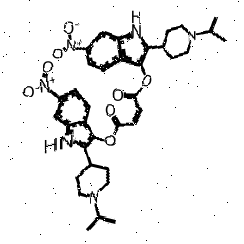 CC(C)N1CCC(c2[nH]c3cc([N+](=O)[O-])ccc3c2OC(=O)/C=C\C(=O)Oc2c(C3CCN(C(C)C)CC3)[nH]c3cc([N+](=O)[O-])ccc23)CC1